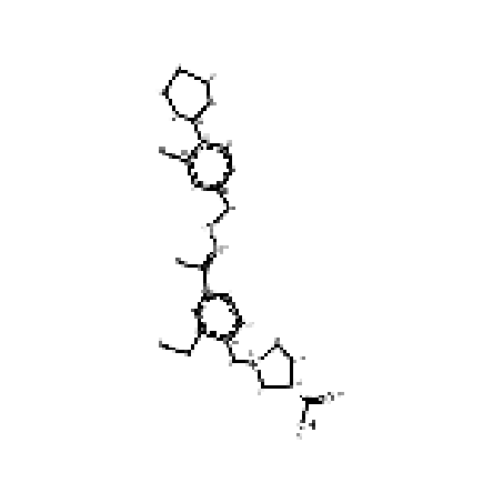 CCc1cc(/C(C)=N/OCc2ccc(C3CCCCC3)c(C)c2)ccc1CN1CC[C@H](C(=O)O)C1